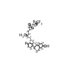 CN(CCCCCCC1=C(c2ccc(F)cc2)CCCc2cc(O)ccc21)CCCCS(=O)(=O)CCC(F)(F)C(F)(F)F